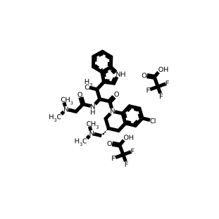 CC(c1c[nH]c2ccccc12)C(NC(=O)CN(C)C)C(=O)N1C[C@@H](CN(C)C)Cc2cc(Cl)ccc21.O=C(O)C(F)(F)F.O=C(O)C(F)(F)F